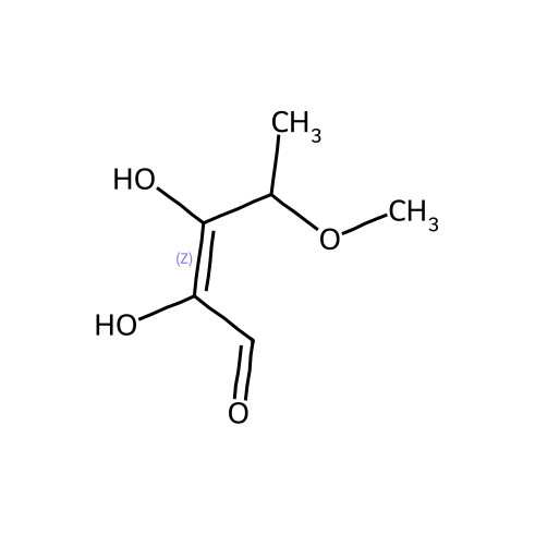 COC(C)/C(O)=C(/O)C=O